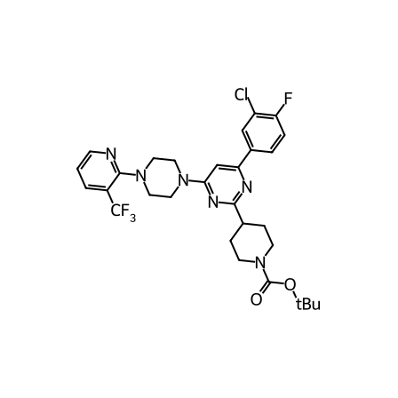 CC(C)(C)OC(=O)N1CCC(c2nc(-c3ccc(F)c(Cl)c3)cc(N3CCN(c4ncccc4C(F)(F)F)CC3)n2)CC1